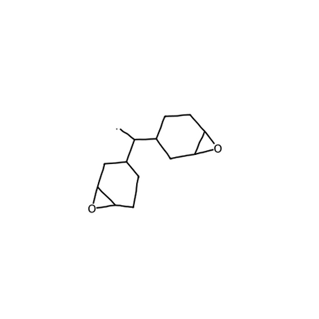 [CH2]C(C1CCC2OC2C1)C1CCC2OC2C1